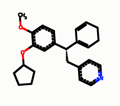 COc1ccc([C@@H](Cc2ccncc2)C2=CCCC=C2)cc1OC1CCCC1